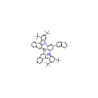 CC(C)(C)c1cc(C(C)(C)C)c2c3c4ccccc4cc4c3n(c2c1)-c1cc(-c2ccc3ccccc3c2)cc2c1B4c1cc3ccccc3c3c4c(C(C)(C)C)cc(C(C)(C)C)cc4n-2c13